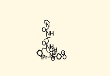 CC(C)CN(C(O)CC(Cc1ccccc1)NC(=O)CC(C)(C)CNC(=O)CN1CCCC1)S(=O)(=O)c1ccc2c(c1)OCO2